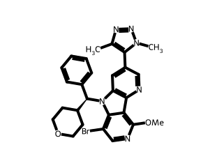 COc1ncc(Br)c2c1c1ncc(-c3c(C)nnn3C)cc1n2[C@H](c1ccccc1)C1CCOCC1